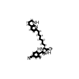 N#Cc1ccc(C(=O)N[C@@H](CCCCCCCc2ccc3c(n2)NCCC3)C(=O)O)c(F)c1